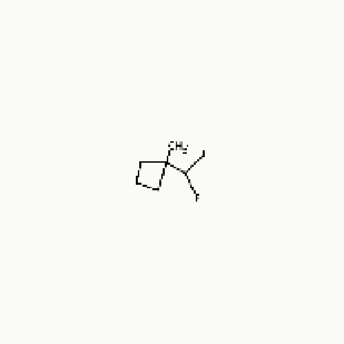 [CH2]C1(C(F)F)CCC1